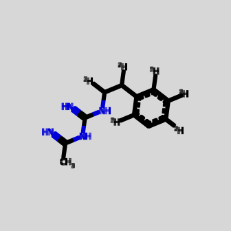 [2H]c1cc([2H])c(C([2H])C([2H])NC(=N)NC(C)=N)c([2H])c1[2H]